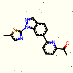 CC(=O)c1cccc(-c2ccc3cnn(-c4ncc(C)s4)c3c2)n1